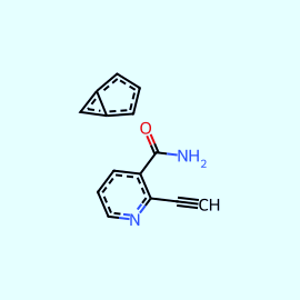 C#Cc1ncccc1C(N)=O.c1cc2cc-2c1